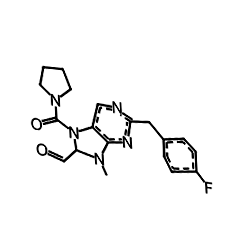 CN1c2nc(Cc3ccc(F)cc3)ncc2N(C(=O)N2CCCC2)C1C=O